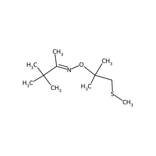 CSCC(C)(C)O/N=C(\C)C(C)(C)C